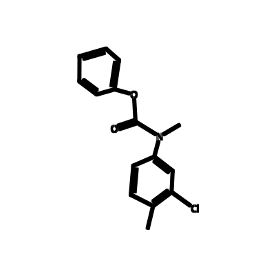 Cc1ccc(N(C)C(=O)Oc2ccccc2)cc1Cl